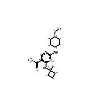 CCO[C@H]1CC[C@H](Nc2ncc(C(N)=O)c(NC3(C)CCC3)n2)CC1